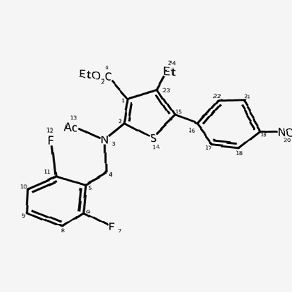 CCOC(=O)c1c(N(Cc2c(F)cccc2F)C(C)=O)sc(-c2ccc([N+](=O)[O-])cc2)c1CC